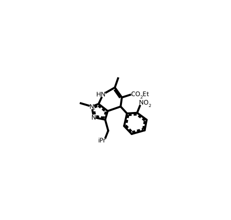 CCOC(=O)C1=C(C)Nc2c(c(CC(C)C)nn2C)C1c1ccccc1[N+](=O)[O-]